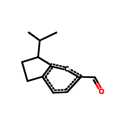 CC(C)C1CCc2ccc(C=O)cc21